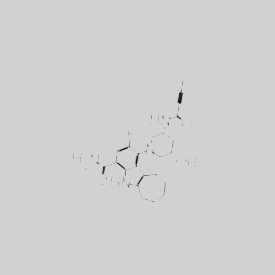 CC#CC(=O)N[C@H]1C[C@@H](O)CN(c2c(F)cc(C(N)=O)c3[nH]c4c(c23)CCCCC4)C1